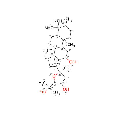 COC1(C)C(C)CCC2(C)C1CCC1(C)C2CC(O)C2C(C3(C)CC(O)C(C(C)(C)O)O3)CCC21C